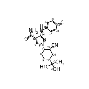 CC(C)(O)[C@H]1CC[C@H](n2cc(C(N)=O)c(Nc3ccc(Cl)cc3)n2)[C@@H](C#N)C1